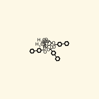 CON=CC(OC(=O)c1ccc(-c2ccccc2)cc1)C(OC(=O)c1ccc(-c2ccccc2)cc1)C(COC(=O)c1ccc(-c2ccccc2)cc1)OS(C)(=O)=O